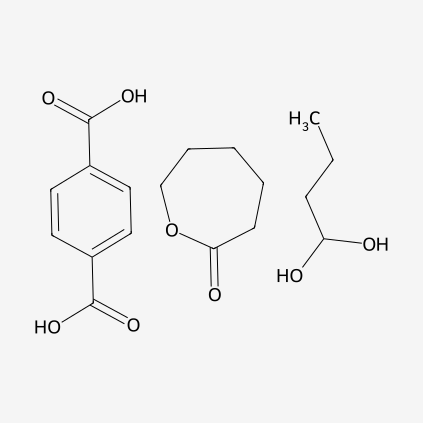 CCCC(O)O.O=C(O)c1ccc(C(=O)O)cc1.O=C1CCCCCO1